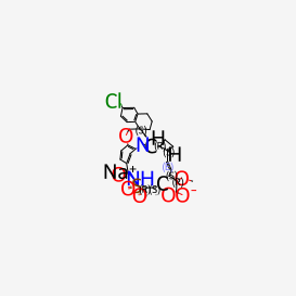 CO[C@@H](C(=O)[O-])[C@@H]1/C=C/[C@@H]2CC[C@H]2CN2C[C@@]3(CCCc4cc(Cl)ccc43)COc3ccc(cc32)C(=O)NS(=O)(=O)[C@H](C)[C@@H](C)C1.[Na+]